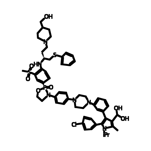 Cc1c(C(O)O)c(-c2cccc(N3CCN(c4ccc(N5CCO[P@]5(=O)c5ccc(N[C@H](CCN6CCC(CO)CC6)CSc6ccccc6)c(S(C)(=O)=O)c5)cc4)CC3)c2)c(-c2ccc(Cl)cc2)n1C(C)C